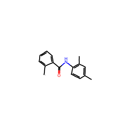 [CH2]c1ccccc1C(=O)Nc1ccc(C)cc1C